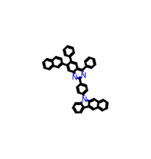 c1ccc(-c2cc3c(-c4ccccc4)nc(-c4ccc(-n5c6ccccc6c6cc7ccccc7cc65)cc4)nc3cc2-c2ccc3ccccc3c2)cc1